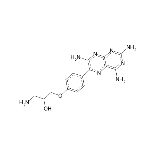 NCC(O)COc1ccc(-c2nc3c(N)nc(N)nc3nc2N)cc1